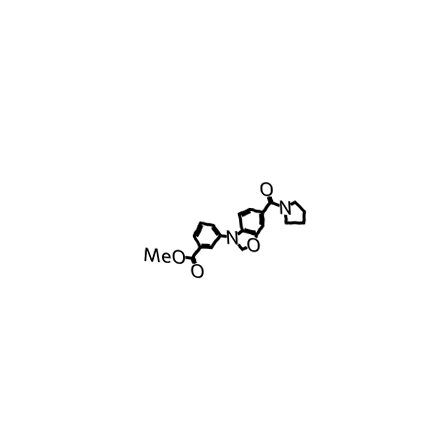 COC(=O)c1cccc(N2COc3cc(C(=O)N4CCCC4)ccc32)c1